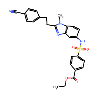 CCOC(=O)c1ccc(S(=O)(=O)Nc2ccc3c(c2)nc(CCc2ccc(C#N)cc2)n3C)cc1